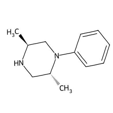 C[C@@H]1CN[C@@H](C)CN1c1ccccc1